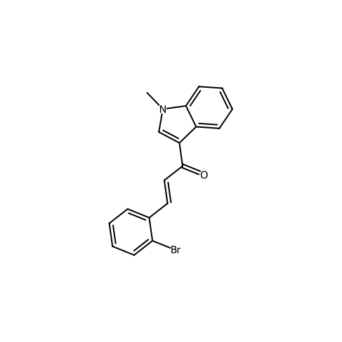 Cn1cc(C(=O)C=Cc2ccccc2Br)c2ccccc21